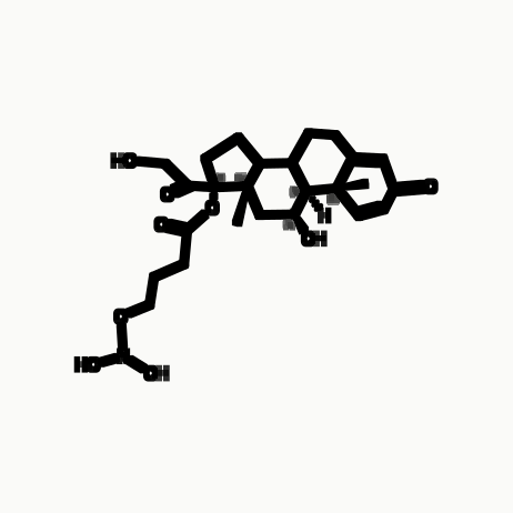 C[C@]12C=CC(=O)C=C1CCC1C3CC[C@](OC(=O)CCCON(O)O)(C(=O)CO)[C@@]3(C)C[C@H](O)[C@@H]12